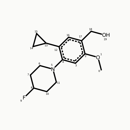 COc1cc(N2CCC(F)CC2)c(C2CC2)cc1CO